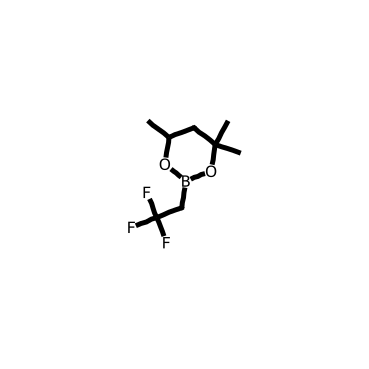 CC1CC(C)(C)OB(CC(F)(F)F)O1